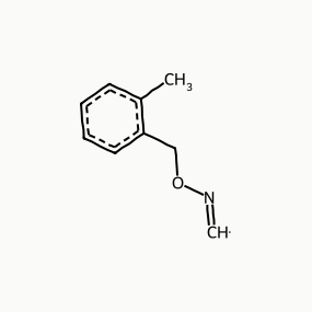 [CH]=NOCc1ccccc1C